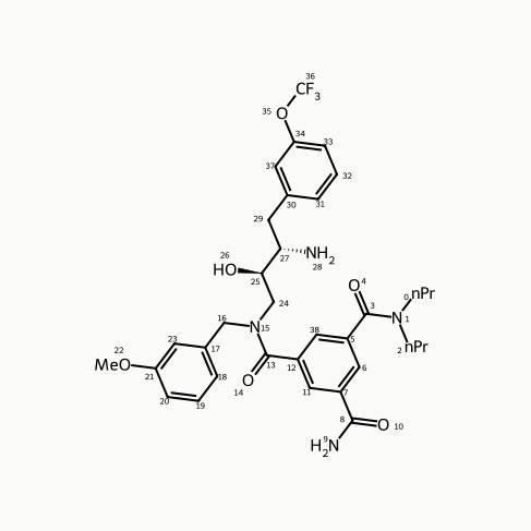 CCCN(CCC)C(=O)c1cc(C(N)=O)cc(C(=O)N(Cc2cccc(OC)c2)C[C@@H](O)[C@@H](N)Cc2cccc(OC(F)(F)F)c2)c1